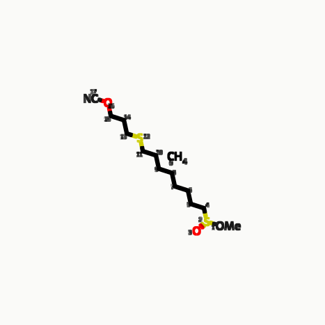 C.COS(=O)CCCCCCCCSCCCOC#N